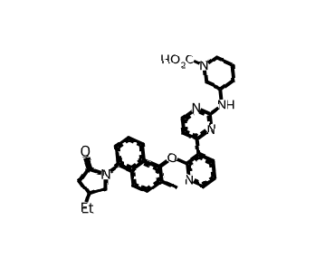 CCC1CC(=O)N(c2cccc3c(Oc4ncccc4-c4ccnc(NC5CCCN(C(=O)O)C5)n4)c(C)ccc23)C1